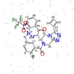 O=C1C=N[N+](Cc2ccc(F)c(C(=O)N3CCn4c(nnc4C4=CC=C4)C3)c2)(OC(=O)C(F)(F)F)c2ccccc21